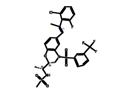 C/C(=C\c1ccc2c(c1)N(S(=O)(=O)c1cccc(C(F)(F)F)c1)C[C@H]([C@@H](C)NS(C)(=O)=O)O2)c1c(F)cccc1Cl